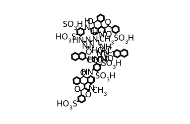 Cn1c(=O)c(C(=O)c2cccc(S(=O)(=O)O)c2)c2c3c(c(Nc4cc(Nc5nc(NCCNc6nc(Nc7cc(Nc8ccc9c%10c8C(=O)c8ccccc8-c%10c(C(=O)c8cccc(S(=O)(=O)O)c8)c(=O)n9C)c(S(=O)(=O)O)cc7S(=O)(=O)O)nc(Oc7cc8ccccc8cc7C(=O)O)n6)nc(Oc6cc7ccccc7cc6C(=O)O)n5)c(S(=O)(=O)O)cc4S(=O)(=O)O)ccc31)C(=O)c1ccccc1-2